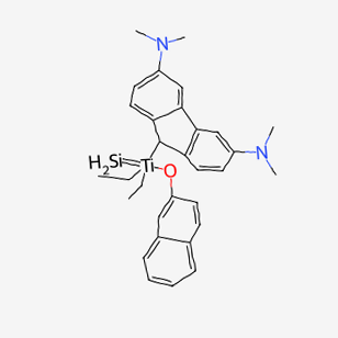 C[CH2][Ti](=[SiH2])([CH2]C)([O]c1ccc2ccccc2c1)[CH]1c2ccc(N(C)C)cc2-c2cc(N(C)C)ccc21